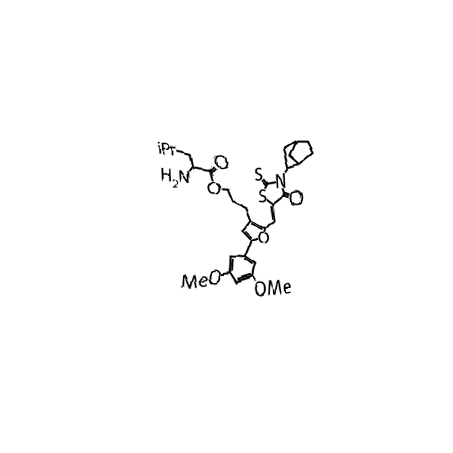 COc1cc(OC)cc(-c2cc(CCCOC(=O)C(N)CC(C)C)c(/C=C3\SC(=S)N(C4CC5CCC4C5)C3=O)o2)c1